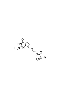 CC(C)[C@H](N)C(=O)OCCOCC1C=Cc2c1nc(N)[nH]c2=O